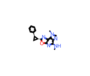 CNc1nc2oc([C@@H]3C[C@H]3c3ccccc3)nc2c2c1ncn2C